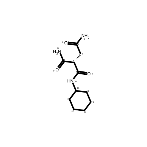 NC(=O)C[C@@H](C(N)=O)C(=O)NC1CCCCC1